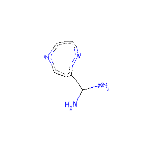 NC(N)c1cnccn1